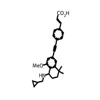 COc1cc(C#Cc2ccc(/C=C/C(=O)O)cc2)cc2c1C(NCC1CC1)CCC2(C)C